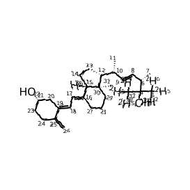 [2H]C([2H])([2H])C(O)([C@@H](C)/C=C/[C@@H](C)[C@H]1CC[C@H]2C(=CC=C3C[C@@H](O)CCC3=C)CCC[C@]12C)C([2H])([2H])[2H]